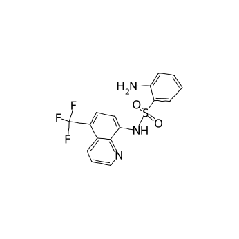 Nc1ccccc1S(=O)(=O)Nc1ccc(C(F)(F)F)c2cccnc12